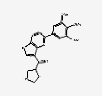 COc1cc(-c2cnc3[nH]cc(C(=O)C4CCNC4)c3n2)cc(OC)c1OC